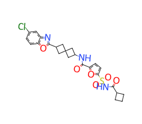 O=C(NC1CC2(C1)CC(c1nc3cc(Cl)ccc3o1)C2)c1ccc(S(=O)(=O)NC(=O)C2CCC2)o1